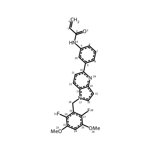 C=CC(=O)Nc1cccc(-c2ccc3c(ccn3Cc3c(F)c(OC)cc(OC)c3F)n2)c1